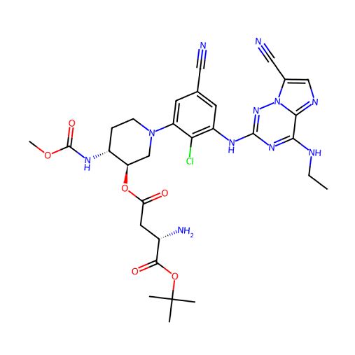 CCNc1nc(Nc2cc(C#N)cc(N3CC[C@@H](NC(=O)OC)[C@H](OC(=O)C[C@H](N)C(=O)OC(C)(C)C)C3)c2Cl)nn2c(C#N)cnc12